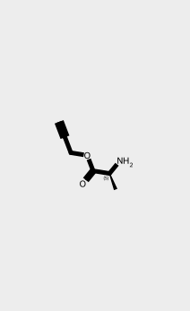 C#CCOC(=O)[C@H](C)N